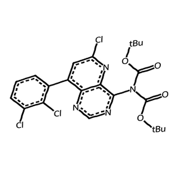 CC(C)(C)OC(=O)N(C(=O)OC(C)(C)C)c1ncnc2c(-c3cccc(Cl)c3Cl)cc(Cl)nc12